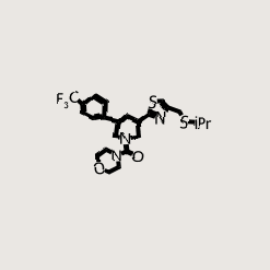 CC(C)SCc1csc(C2CC(c3ccc(C(F)(F)F)cc3)CN(C(=O)N3CCOCC3)C2)n1